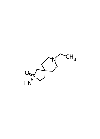 CCN1CCC2(CC1)CCS(=N)(=O)C2